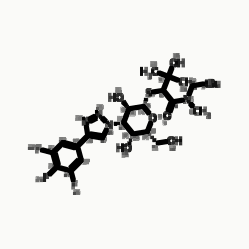 CN(CC(C)(C)C)C(=O)C(S[C@@H]1O[C@H](CO)[C@H](O)[C@H](n2cc(-c3cc(F)c(F)c(F)c3)nn2)[C@H]1O)C(C)(C)O